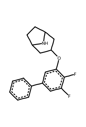 Fc1cc(-c2ccccc2)cc(OC2CC3CCC(C2)N3)c1F